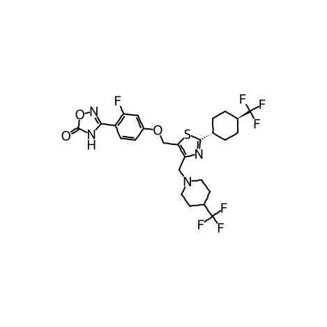 O=c1[nH]c(-c2ccc(OCc3sc([C@H]4CC[C@H](C(F)(F)F)CC4)nc3CN3CCC(C(F)(F)F)CC3)cc2F)no1